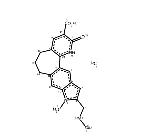 Cl.Cn1c(CNC(C)(C)C)cc2cc3c(cc21)CCCc1cc(C(=O)O)c(=O)[nH]c1-3